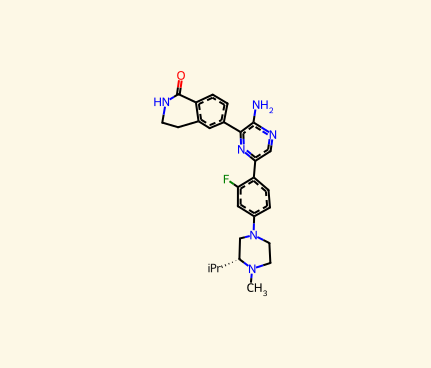 CC(C)[C@@H]1CN(c2ccc(-c3cnc(N)c(-c4ccc5c(c4)CCNC5=O)n3)c(F)c2)CCN1C